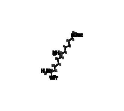 CCCCCCCCCCCCCCCCCCCCCC(N)CCC.N